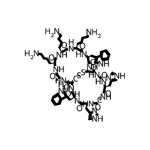 C[C@@H]1NC(=O)[C@@H]2CSSC(NC(=O)[C@H](Cc3c[nH]c4ccccc34)NC(=O)[C@H](CCCCN)NC(=O)[C@H](CCCCN)NC(=O)[C@H](CCCCN)NC1=O)C(=O)NC(=O)N[C@@H](Cc1c[nH]cn1)C(=O)NCC(=O)N[C@@H](Cc1c[nH]cn1)C(=O)N[C@@H](Cc1c[nH]c3ccccc13)C(=O)N2